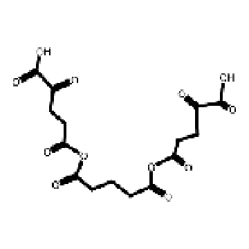 O=C(CCCC(=O)OC(=O)CCC(=O)C(=O)O)OC(=O)CCC(=O)C(=O)O